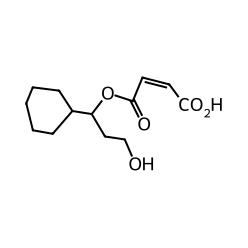 O=C(O)/C=C\C(=O)OC(CCO)C1CCCCC1